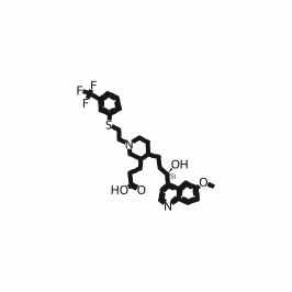 COc1ccc2nccc([C@@H](O)CCC3CCN(CCSc4cccc(C(F)(F)F)c4)CC3CCC(=O)O)c2c1